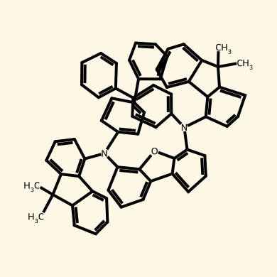 CC1(C)c2ccccc2-c2c(N(c3ccc(-c4ccccc4)cc3)c3cccc4c3oc3c(N(c5ccc(-c6ccccc6)cc5)c5cccc6c5-c5ccccc5C6(C)C)cccc34)cccc21